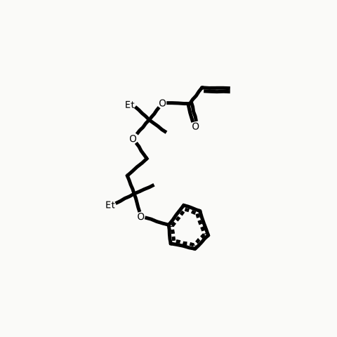 C=CC(=O)OC(C)(CC)OCCC(C)(CC)Oc1ccccc1